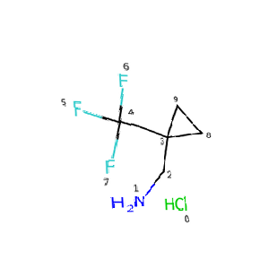 Cl.NCC1(C(F)(F)F)CC1